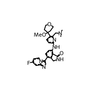 COC1(c2ccc(Nc3ccc(-c4cnc5cc(F)ccn45)c4c3C(=O)NC4)nc2CN(C)C)CCOCC1